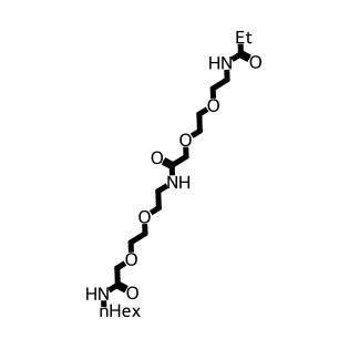 CCCCCCNC(=O)COCCOCCNC(=O)COCCOCCNC(=O)CC